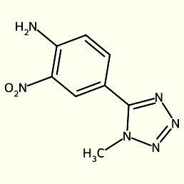 Cn1nnnc1-c1ccc(N)c([N+](=O)[O-])c1